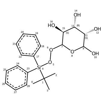 CC(C)(C)[Si](OOC1OC(O)[C@@H](O)[C@@H](O)[C@@H]1O)(c1ccccc1)c1ccccc1